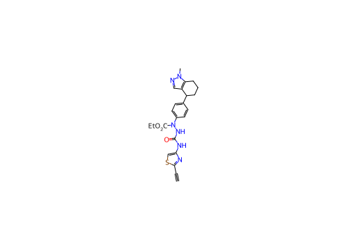 C#Cc1nc(NC(=O)NN(C(=O)OCC)c2ccc(C3CCCc4c3cnn4C)cc2)cs1